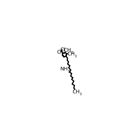 CCCCCCCCCCCCCCCCCCc1ccc(C(=O)Cl)c(C)c1C.N